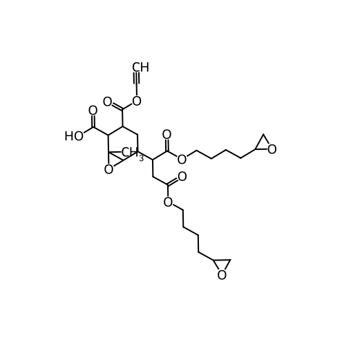 C#COC(=O)C1CC(C(CC(=O)OCCCCC2CO2)C(=O)OCCCCC2CO2)C2OC2(C)C1C(=O)O